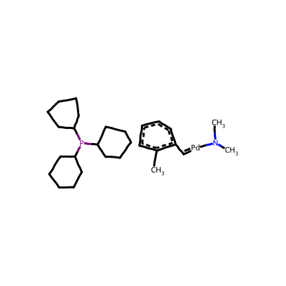 C1CCC(P(C2CCCCC2)C2CCCCC2)CC1.Cc1ccccc1[CH]=[Pd][N](C)C